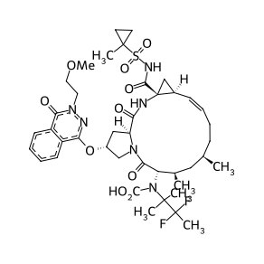 COCCn1nc(O[C@@H]2C[C@H]3C(=O)N[C@]4(C(=O)NS(=O)(=O)C5(C)CC5)C[C@H]4C=CCC[C@@H](C)C[C@@H](C)[C@H](N(C(=O)O)C(C)(C)C(C)(F)F)C(=O)N3C2)c2ccccc2c1=O